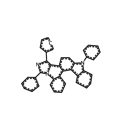 c1ccc(-c2nc(-c3ccccc3)n3c4ccccc4c4c(ccc5c4c4ccccc4n5-c4ccccc4)c23)cc1